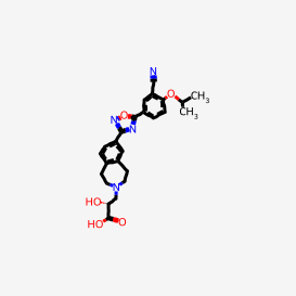 CC(C)Oc1ccc(-c2nc(-c3ccc4c(c3)CCN(C[C@@H](O)C(=O)O)CC4)no2)cc1C#N